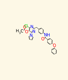 CC(=O)Oc1c(Cl)nc(Cc2ccc(NC(=O)c3ccc(Oc4ccccc4)cc3)cc2)nc1-n1cccc1